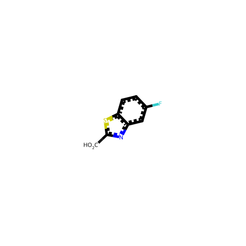 O=C(O)c1nc2cc(F)ccc2s1